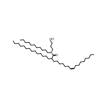 CCCCCCCC/C=C\CCCCCCC(CCCCCCCCCCCCCC)C(=O)N(CCCC)CCCCCCCCCCC.Cl